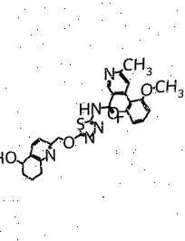 COc1cccc(F)c1-c1cc(C)ncc1C(=O)Nc1nnc(OCc2ccc3c(n2)CCCC3O)s1